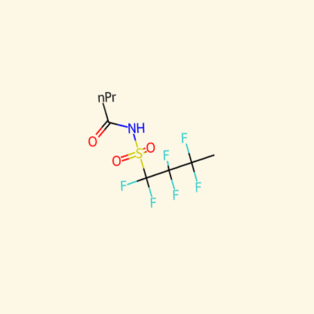 CCCC(=O)NS(=O)(=O)C(F)(F)C(F)(F)C(C)(F)F